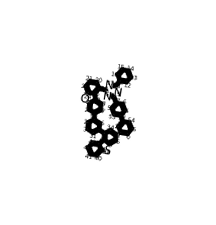 c1ccc(-c2ccc(-c3nc(-c4ccccc4)nc(-c4cccc5oc6cc(-c7cccc(-c8cccc9sc%10ccccc%10c89)c7)ccc6c45)n3)cc2)cc1